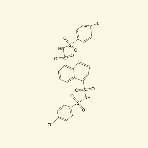 O=S(=O)(NS(=O)(=O)c1cccc2c(S(=O)(=O)NS(=O)(=O)c3ccc(Cl)cc3)cccc12)c1ccc(Cl)cc1